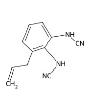 C=CCc1cccc(NC#N)c1NC#N